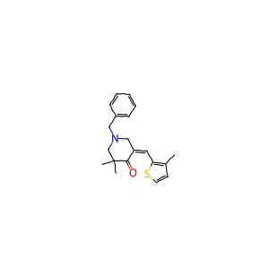 Cc1ccsc1/C=C1/CN(Cc2ccccc2)CC(C)(C)C1=O